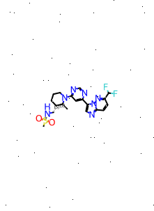 C[C@H]1[C@H](CNS(C)(=O)=O)CCCN1c1cc(-c2cnc3ccc(C(F)F)nn23)ncn1